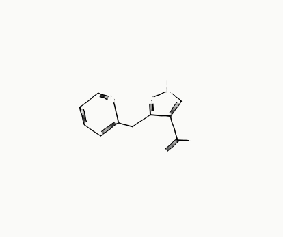 O=C(O)c1c[nH]nc1Cc1ccccn1